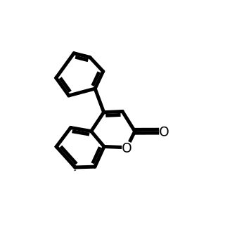 O=c1cc(-c2ccccc2)c2cc[c]cc2o1